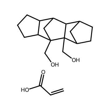 C=CC(=O)O.OCC12CC(C3CCCC31)C1C3CCC(C3)C12CO